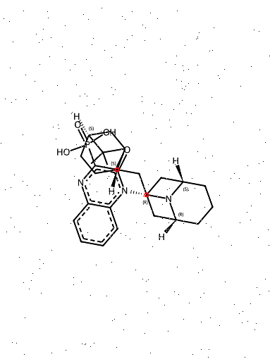 CC1(C)C2C[C@@H]1CC[C@H]2CCN1[C@@H]2CCC[C@H]1C[C@@H](n1c(=O)c(P(=O)(O)O)nc3ccccc31)C2